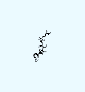 CCN(C(=O)CCS(=O)(=O)CCCC(F)(F)F)c1sc(-c2ccc[n+]([O-])c2)nc1C